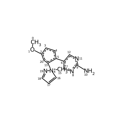 COc1ccc(-c2cnc(N)nc2)c([N+]2(C)C=CC=N2)c1